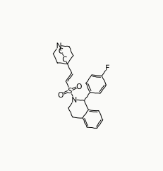 O=S(=O)(C=CC12CCN(CC1)CC2)N1CCc2ccccc2C1c1ccc(F)cc1